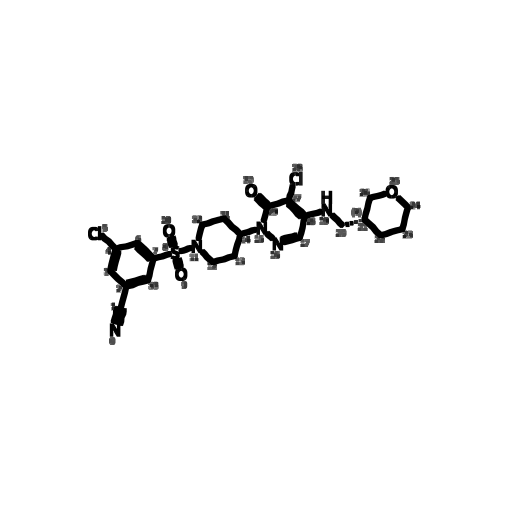 N#Cc1cc(Cl)cc(S(=O)(=O)N2CCC(n3ncc(NC[C@H]4CCCOC4)c(Cl)c3=O)CC2)c1